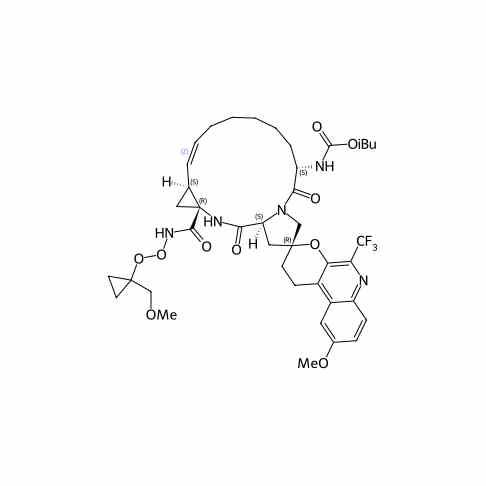 COCC1(OONC(=O)[C@@]23C[C@H]2/C=C\CCCCC[C@H](NC(=O)OCC(C)C)C(=O)N2C[C@@]4(CCc5c(c(C(F)(F)F)nc6ccc(OC)cc56)O4)C[C@H]2C(=O)N3)CC1